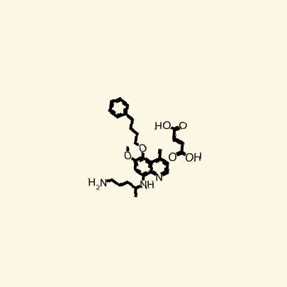 COc1cc(NC(C)CCCN)c2nccc(C)c2c1OCCCCc1ccccc1.O=C(O)C=CC(=O)O